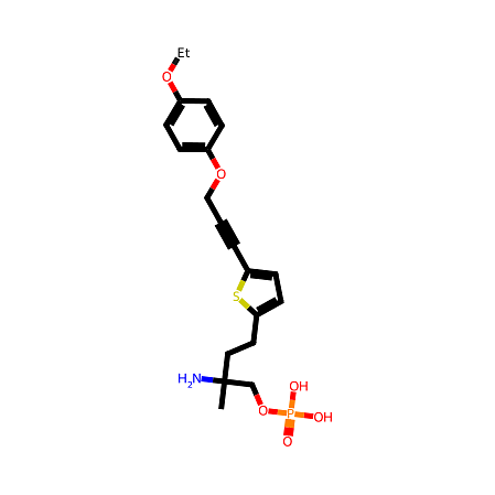 CCOc1ccc(OCC#Cc2ccc(CCC(C)(N)COP(=O)(O)O)s2)cc1